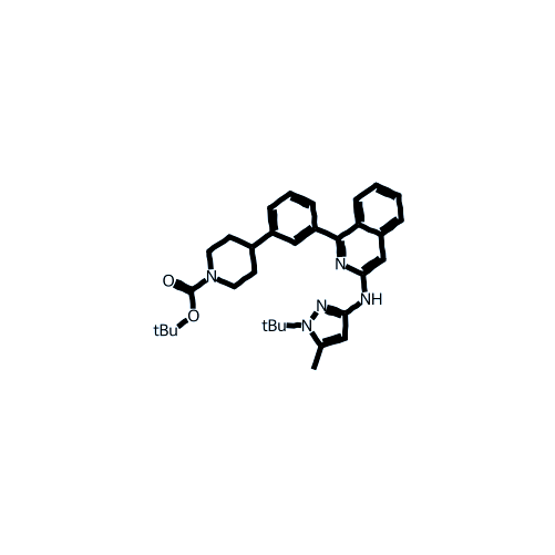 Cc1cc(Nc2cc3ccccc3c(-c3cccc(C4CCN(C(=O)OC(C)(C)C)CC4)c3)n2)nn1C(C)(C)C